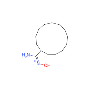 N/C(=N/O)C1CCCCCCCCCCCC1